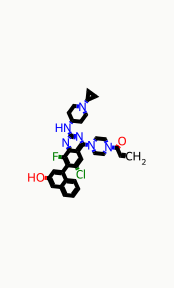 C=CC(=O)N1CCN(c2nc(NC3CCN(C4CC4)CC3)nc3c(F)c(-c4cc(O)cc5ccccc45)c(Cl)cc23)CC1